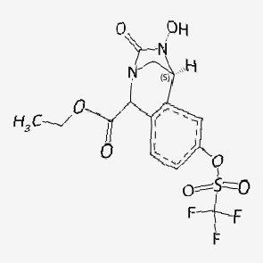 CCOC(=O)C1c2ccc(OS(=O)(=O)C(F)(F)F)cc2[C@H]2CN1C(=O)N2O